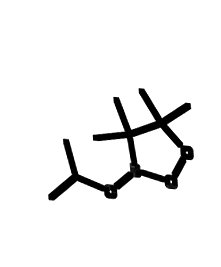 CC(C)OB1OOC(C)(C)C1(C)C